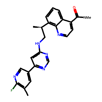 CNC(=O)c1ccnc2c([C@H](C)CNc3cc(-c4cnc(F)c(C)c4)ncn3)cccc12